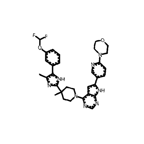 Cc1nc(C2(C)CCN(c3ncnc4[nH]c(-c5ccc(N6CCOCC6)nc5)cc34)CC2)[nH]c1-c1cccc(OC(F)F)c1